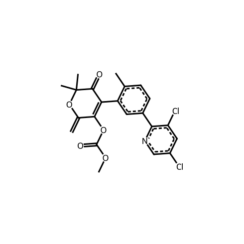 C=C1OC(C)(C)C(=O)C(c2cc(-c3ncc(Cl)cc3Cl)ccc2C)=C1OC(=O)OC